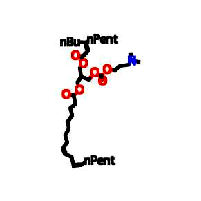 CCCCC/C=C\C/C=C\CCCCCCCC(=O)OCC(COC(=O)/C=C(\CCCC)CCCCC)COC(=O)OCCCN(C)C